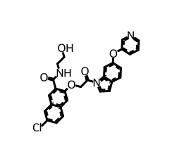 O=C(NCCO)c1cc2cc(Cl)ccc2cc1OCC(=O)n1ccc2ccc(Oc3cccnc3)cc21